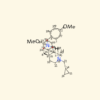 COc1ccc(CN2CC[C@@]34CCN(CC5CC5)[C@H](Cc5ccc(OC)cc53)[C@@H]4C2)cc1